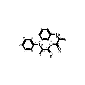 CC([Te]c1ccccc1)C(=O)OC(=O)C(C)[Te]c1ccccc1